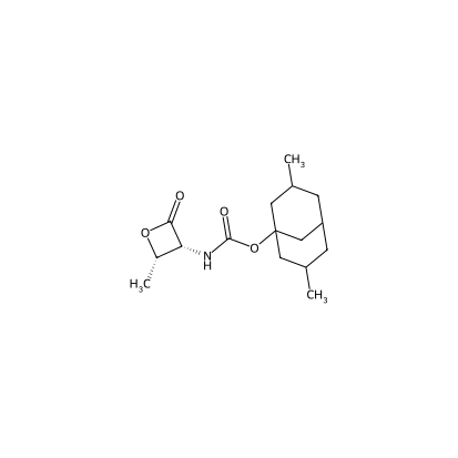 CC1CC2CC(C)CC(OC(=O)N[C@H]3C(=O)O[C@H]3C)(C1)C2